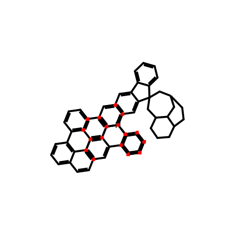 c1ccc(-c2ccccc2-c2ccccc2-c2ccccc2N(c2cccc(-c3cccc4cccc(-c5ccccc5)c34)c2)c2ccc3c(c2)C2(CC4CCC5CCCC(C2)C5C4)c2ccccc2-3)cc1